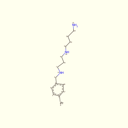 CC(C)c1ccc(CNCCCNCCCCN)cc1